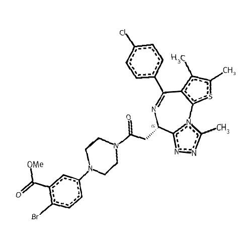 COC(=O)c1cc(N2CCN(C(=O)C[C@@H]3N=C(c4ccc(Cl)cc4)c4c(sc(C)c4C)-n4c(C)nnc43)CC2)ccc1Br